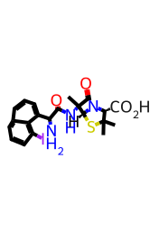 CC1(C)S[C@H]2N(C(=O)C2(C)NC(=O)C(N)c2cccc3cccc(I)c23)[C@H]1C(=O)O